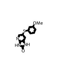 COc1cccc(Sc2cnc3[nH]c(=O)[nH]c3c2)c1